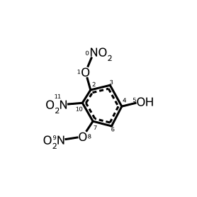 O=[N+]([O-])Oc1cc(O)cc(O[N+](=O)[O-])c1[N+](=O)[O-]